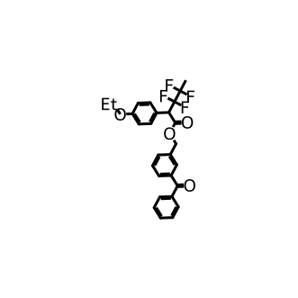 CCOc1ccc(C(C(=O)OCc2cccc(C(=O)c3ccccc3)c2)C(F)(F)C(C)(F)F)cc1